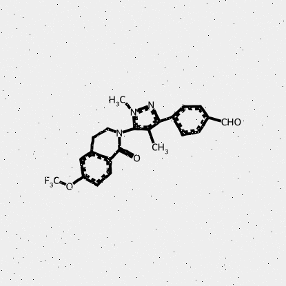 Cc1c(-c2ccc(C=O)cc2)nn(C)c1N1CCc2cc(OC(F)(F)F)ccc2C1=O